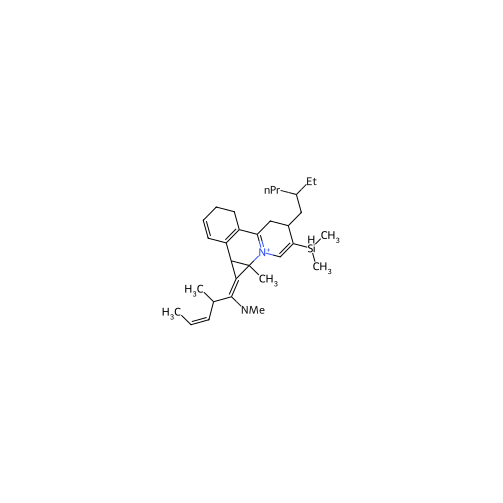 C/C=C\C(C)/C(NC)=C1\C2C3=C(CCC=C3)C3=[N+](C=C([SiH](C)C)C(CC(CC)CCC)C3)C12C